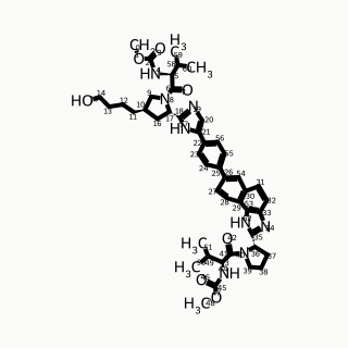 COC(=O)N[C@H](C(=O)N1C[C@H](CCCCO)C[C@H]1c1ncc(-c2ccc(-c3ccc4c(ccc5nc([C@@H]6CCCN6C(=O)[C@@H](NC(=O)OC)C(C)C)[nH]c54)c3)cc2)[nH]1)C(C)C